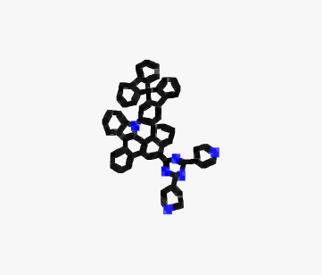 c1ccc2c(c1)-c1ccccc1C21c2ccccc2-c2ccc(-n3c4ccccc4c4c5ccccc5c5cc(-c6nc(-c7ccncc7)nc(-c7ccncc7)n6)c6ccccc6c5c43)cc21